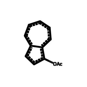 CC(=O)Oc1ccc2cccccc1-2